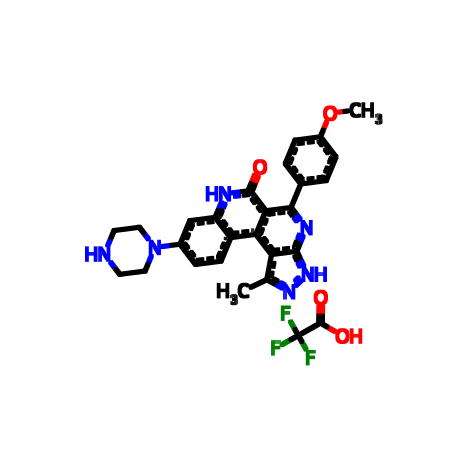 COc1ccc(-c2nc3[nH]nc(C)c3c3c2c(=O)[nH]c2cc(N4CCNCC4)ccc23)cc1.O=C(O)C(F)(F)F